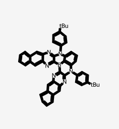 CC(C)(C)c1ccc(N2c3cccc4c3B(c3nc5cc6ccccc6cc5nc32)c2nc3cc5ccccc5cc3nc2N4c2ccc(C(C)(C)C)cc2)cc1